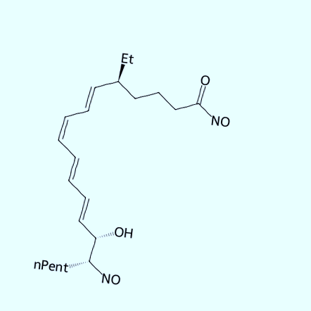 CCCCC[C@@H](N=O)[C@@H](O)/C=C/C=C/C=C\C=C\[C@@H](CC)CCCC(=O)N=O